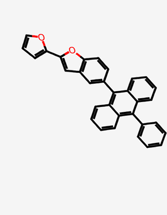 c1ccc(-c2c3ccccc3c(-c3ccc4oc(-c5ccco5)cc4c3)c3ccccc23)cc1